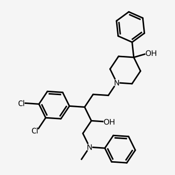 CN(CC(O)C(CCN1CCC(O)(c2ccccc2)CC1)c1ccc(Cl)c(Cl)c1)c1ccccc1